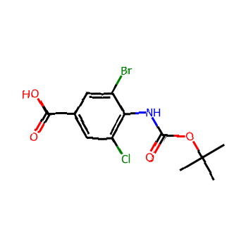 CC(C)(C)OC(=O)Nc1c(Cl)cc(C(=O)O)cc1Br